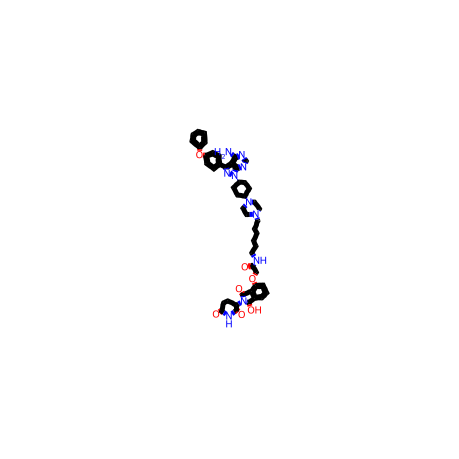 Nc1ncnc2c1c(-c1ccc(Oc3ccccc3)cc1)nn2[C@H]1CC[C@H](N2CCN(CCCCCCNC(=O)COc3cccc4c3C(=O)N(C3CCC(=O)NC3=O)C4O)CC2)CC1